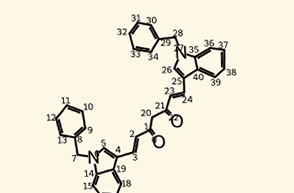 O=C(/C=C/c1cn(Cc2ccccc2)c2ccccc12)CC(=O)/C=C/c1cn(Cc2ccccc2)c2ccccc12